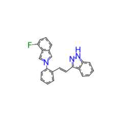 Fc1cccc2cn(-c3ccccc3C=Cc3n[nH]c4ccccc34)cc12